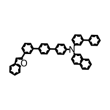 c1ccc(-c2cccc(N(c3ccc(-c4ccc(-c5cccc(-c6cc7ccccc7o6)c5)cc4)cc3)c3ccc4ccccc4c3)c2)cc1